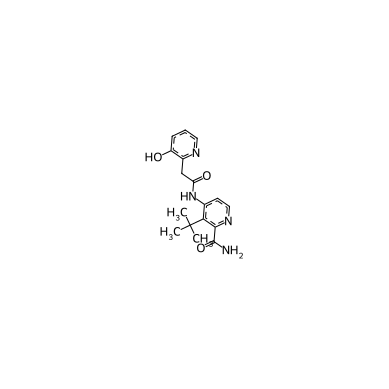 CC(C)(C)c1c(NC(=O)Cc2ncccc2O)ccnc1C(N)=O